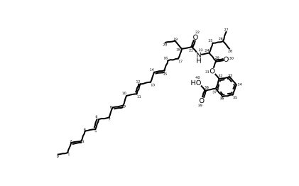 CCC=CCC=CCC=CCC=CCC=CCCC(CC)C(=O)NC(CC(C)C)C(=O)Oc1ccccc1C(=O)O